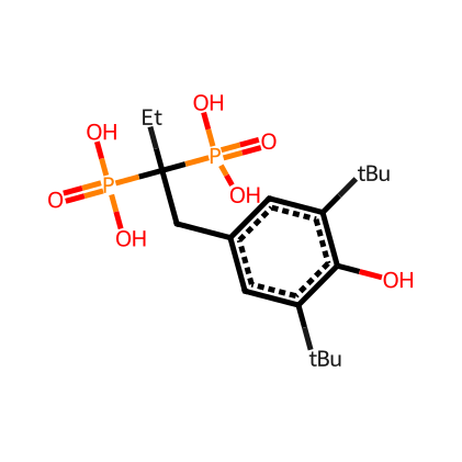 CCC(Cc1cc(C(C)(C)C)c(O)c(C(C)(C)C)c1)(P(=O)(O)O)P(=O)(O)O